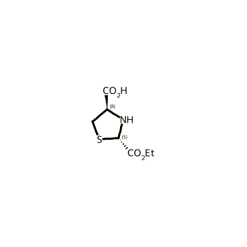 CCOC(=O)[C@H]1N[C@H](C(=O)O)CS1